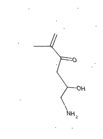 C=C(C)C(=O)CC(O)CN